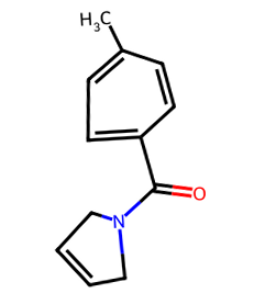 Cc1ccc(C(=O)N2CC=CC2)cc1